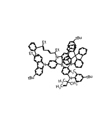 C=CC(C)(C)N(c1ccc2c(c1)N(c1cccc3c1C1(c4ccccc4-c4ccccc41)c1ccccc1-3)c1cc(-c3ccc(C(C)(C)C)cc3)cc3c1B2c1ccc(-n2c4ccc(CC)cc4c4cc(C(C)(C)C)ccc42)cc1N3C(C=C/C=C(\CC)c1ccccc1CC)CC)c1ccc(C(C)(C)C)cc1C